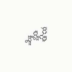 Cc1csc2ccc(-c3cc(Nc4cnccc4C(=O)NC4CNC(=O)C4)cc4nccnc34)cc12